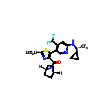 CCOC(=O)c1nc(C(=O)N2[C@H]3CC[C@H]2CC3)c(-c2cnc(N[C@@H](C3CC3)C(F)(F)F)cc2C(F)F)s1